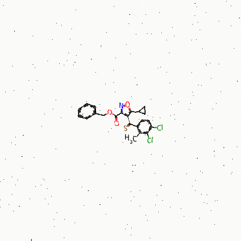 Cc1c(C(=S)c2c(C(=O)OCc3ccccc3)noc2C2CC2)ccc(Cl)c1Cl